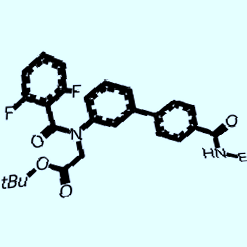 CCNC(=O)c1ccc(-c2cccc(N(CC(=O)OC(C)(C)C)C(=O)c3c(F)cccc3F)c2)cc1